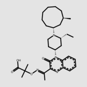 CC[C@@H]1C[C@H](n2c(=O)c(/C(C)=N/OC(C)(C)C(=O)O)nc3ccccc32)CCN1[C@@H]1CCCCCC[C@@H](C)C1